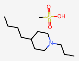 CCCCC1CCN(CCC)CC1.CS(=O)(=O)O